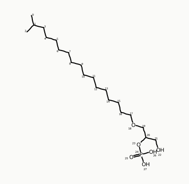 CC(C)CCCCCCCCCCCCCCCOCC(CO)OP(=O)(O)O